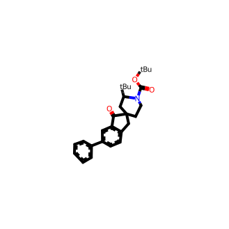 CC(C)(C)OC(=O)N1CCC2(Cc3ccc(-c4ccccc4)cc3C2=O)CC1C(C)(C)C